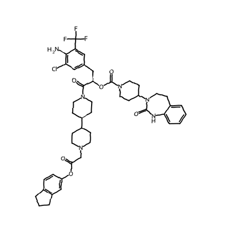 Nc1c(Cl)cc(C[C@@H](OC(=O)N2CCC(N3CCc4ccccc4NC3=O)CC2)C(=O)N2CCC(C3CCN(CC(=O)Oc4ccc5c(c4)CCC5)CC3)CC2)cc1C(F)(F)F